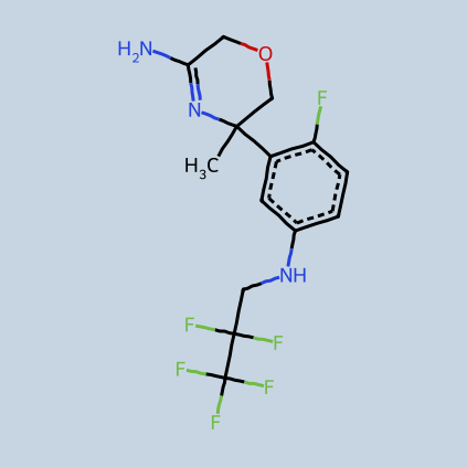 CC1(c2cc(NCC(F)(F)C(F)(F)F)ccc2F)COCC(N)=N1